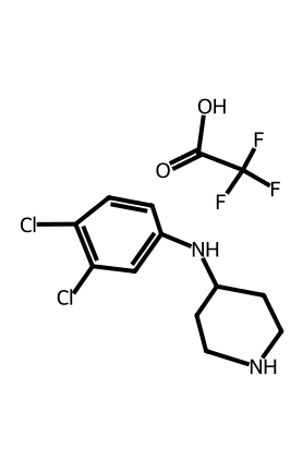 Clc1ccc(NC2CCNCC2)cc1Cl.O=C(O)C(F)(F)F